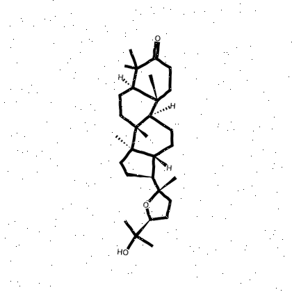 CC(C)(O)[C@@H]1CC[C@@](C)([C@H]2CC[C@]3(C)[C@@H]2CC[C@@H]2[C@@]4(C)CCC(=O)C(C)(C)[C@@H]4CC[C@]23C)O1